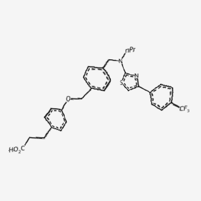 CCCN(Cc1ccc(COc2ccc(CCC(=O)O)cc2)cc1)c1nc(-c2ccc(C(F)(F)F)cc2)cs1